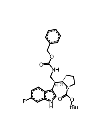 CC(C)(C)OC(=O)N1CCC[C@H]1[C@H](CNC(=O)OCc1ccccc1)c1c[nH]c2cc(F)ccc12